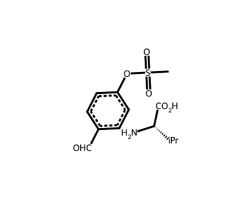 CC(C)[C@H](N)C(=O)O.CS(=O)(=O)Oc1ccc(C=O)cc1